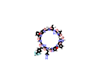 CC[C@H](C)[C@@H]1NC(=O)[C@H](CC(C)C)N(C)C(=O)C[C@@H](C(=O)N(C)C)N(C)C(=O)[C@H](C2CCCC2)N(C)C(=O)C2(CCCC2)NC(=O)CN(CCC2CNC2)C(=O)[C@H](CCc2ccc(C(F)(F)F)c(F)c2)NC(=O)CN(C)C(=O)[C@H](CC2CCCCC2)N(C)C(=O)[C@@H]2CCN2C(=O)[C@H](C)N(C)C1=O